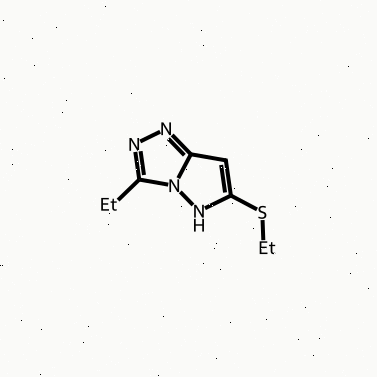 CCSc1cc2nnc(CC)n2[nH]1